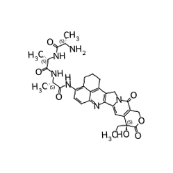 CC[C@@]1(O)C(=O)OCc2c1cc1n(c2=O)Cc2c-1nc1ccc(NC(=O)[C@H](C)NC(=O)[C@H](C)NC(=O)[C@H](C)N)c3c1c2CCC3